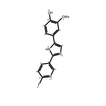 COc1cc(-c2cnc(-c3ccc(F)nc3)[nH]2)ccc1O